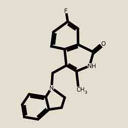 Cc1[nH]c(=O)c2cc(F)ccc2c1CN1CCc2ccccc21